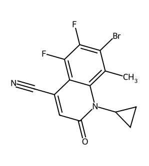 Cc1c(Br)c(F)c(F)c2c(C#N)cc(=O)n(C3CC3)c12